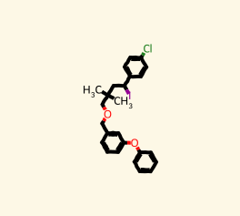 CC(C)(COCc1cccc(Oc2ccccc2)c1)CC(I)c1ccc(Cl)cc1